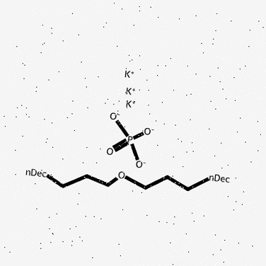 CCCCCCCCCCCCCOCCCCCCCCCCCCC.O=P([O-])([O-])[O-].[K+].[K+].[K+]